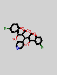 O=c1oc2ccc(Br)cc2c(O)c1C(c1ccncc1)c1c(O)c2cc(Br)ccc2oc1=O